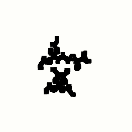 C=C(C)C(=O)OCCC[Si](C)(OCC)OCC.CCO[Si](OCC)(OCC)OCC